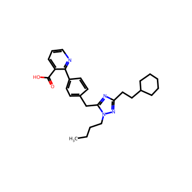 CCCCn1nc(CCC2CCCCC2)nc1Cc1ccc(-c2ncccc2C(=O)O)cc1